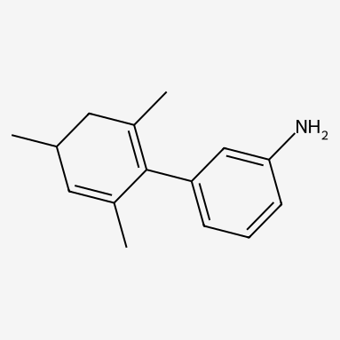 CC1=CC(C)CC(C)=C1c1cccc(N)c1